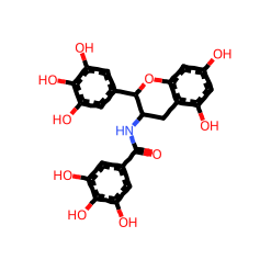 O=C(NC1Cc2c(O)cc(O)cc2OC1c1cc(O)c(O)c(O)c1)c1cc(O)c(O)c(O)c1